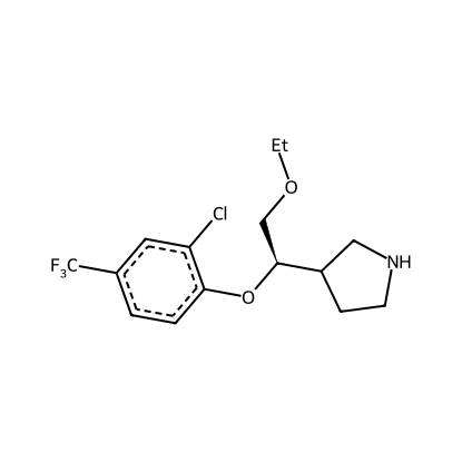 CCOC[C@H](Oc1ccc(C(F)(F)F)cc1Cl)C1CCNC1